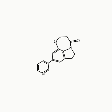 O=C1CCOc2cc(-c3cccnc3)cc3c2N1CC3